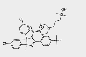 COCc1cc(C(C)(C)C)ccc1C1=N[C@@](C)(c2ccc(Cl)cc2)[C@@](C)(c2ccc(Cl)cc2)N1C(=O)N1CCN(CCC[Si](C)(C)O)CC1